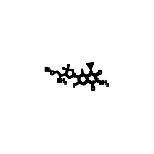 CCOC[C@H](N)C1CN(c2c(F)cc3c(=O)n(N)c(=O)n(C4CC4)c3c2C)CC1(C)C